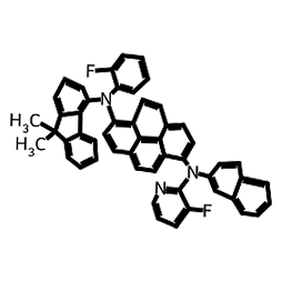 CC1(C)c2ccccc2-c2c(N(c3ccccc3F)c3ccc4ccc5c(N(c6ccc7ccccc7c6)c6ncccc6F)ccc6ccc3c4c65)cccc21